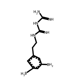 Bc1cc(B)cc(CCNC(=N)NC(=N)N)c1